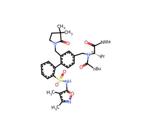 CCCCC(=O)N(Cc1ccc(-c2ccccc2S(=O)(=O)Nc2onc(C)c2C)c(CN2CCC(C)(C)C2=O)c1)[C@H](C(=O)NC)C(C)C